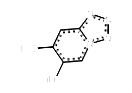 Cc1cc2nnnn2cc1C(C)C